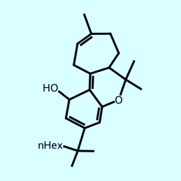 CCCCCCC(C)(C)C1=CC(O)C2=C3CC=C(C)CCC3C(C)(C)OC2=C1